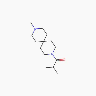 CC(C)C(=O)N1CCC2(CCN(C)CC2)CC1